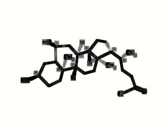 C[C@H](CCC(=O)Cl)[C@H]1CC[C@H]2[C@@H]3C[C@H](O)C4C[C@H](O)CC[C@]4(C)[C@H]3CC[C@]12C